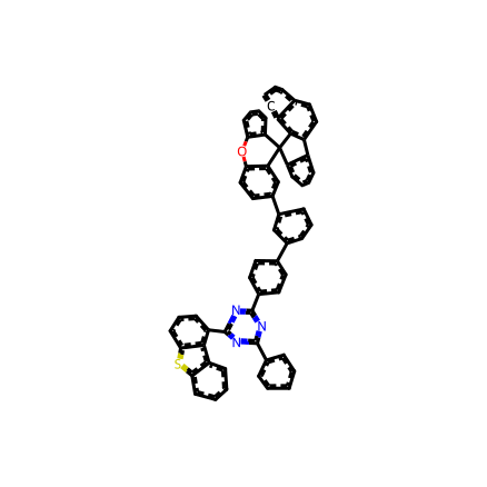 c1ccc(-c2nc(-c3ccc(-c4cccc(-c5ccc6c(c5)C5(c7ccccc7O6)c6ccccc6-c6ccc7ccccc7c65)c4)cc3)nc(-c3cccc4sc5ccccc5c34)n2)cc1